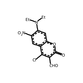 CCN(CC)c1cc2oc(=O)c(C=O)c(Cl)c2cc1[N+](=O)[O-]